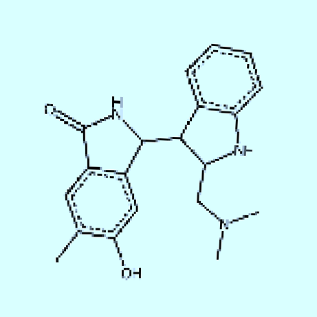 Cc1cc2c(cc1O)C(C1c3ccccc3NC1CN(C)C)NC2=O